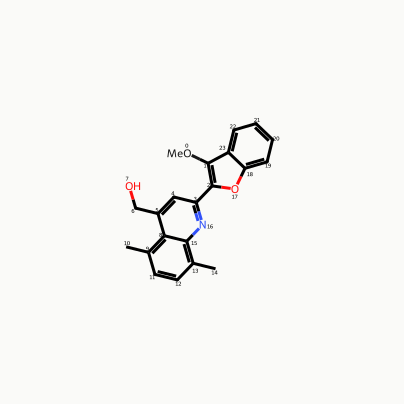 COc1c(-c2cc(CO)c3c(C)ccc(C)c3n2)oc2ccccc12